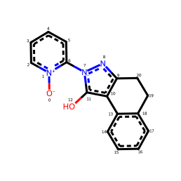 [O-][n+]1ccccc1-n1nc2c(c1O)-c1ccccc1CC2